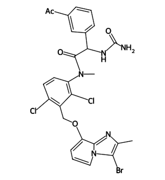 CC(=O)c1cccc(C(NC(N)=O)C(=O)N(C)c2ccc(Cl)c(COc3cccn4c(Br)c(C)nc34)c2Cl)c1